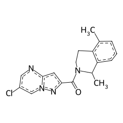 Cc1cccc2c1CCN(C(=O)c1cc3ncc(Cl)cn3n1)C2C